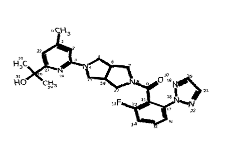 Cc1cc(N2CC3CN(C(=O)c4c(F)cccc4-n4nccn4)CC3C2)nc(C(C)(C)O)c1